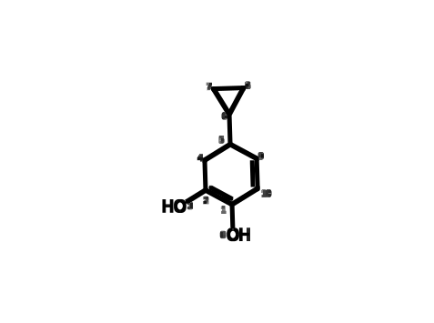 OC1=C(O)CC(C2CC2)C=C1